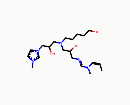 C/C=C\N(C)/C=N/CC(O)CN(CCCCCO)CC(O)C[n+]1ccn(C)c1